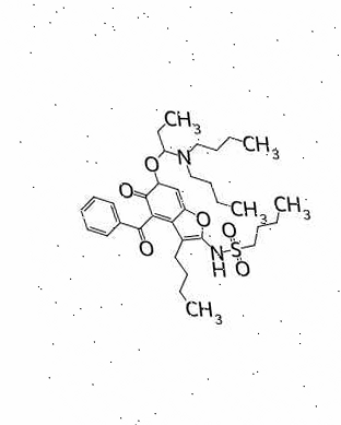 CCCCc1c(NS(=O)(=O)CCCC)oc2c1=C(C(=O)c1ccccc1)C(=O)C(OC(CC)N(CCCC)CCCC)C=2